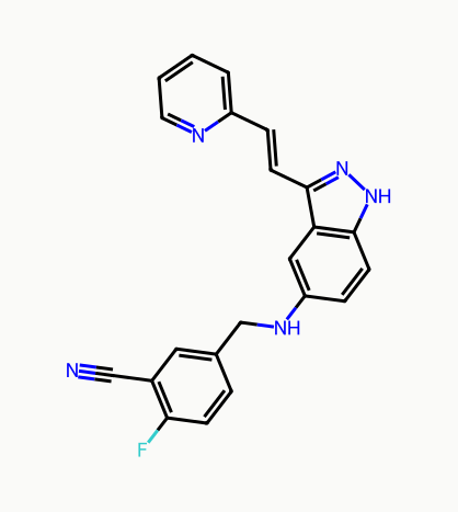 N#Cc1cc(CNc2ccc3[nH]nc(C=Cc4ccccn4)c3c2)ccc1F